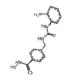 Nc1ccccc1NC(=O)NCc1ccc(C(=O)NO)cc1